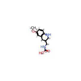 COc1ccc2c(c1)CC(CNC(=O)O)CN2